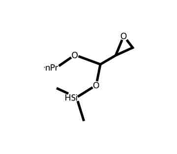 CC[CH]OC(O[SiH](C)C)C1CO1